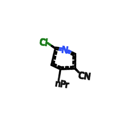 CCCc1cc(Cl)ncc1C#N